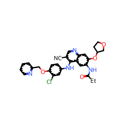 CCC(=O)Nc1cc2c(Nc3ccc(OCc4ccccn4)c(Cl)c3)c(C#N)cnc2cc1OC1CCOC1